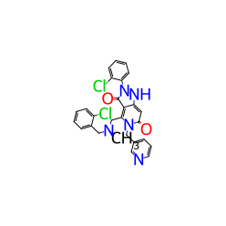 CN(Cc1ccccc1Cl)Cc1c2c(=O)n(-c3ccccc3Cl)[nH]c2cc(=O)n1Cc1cccnc1